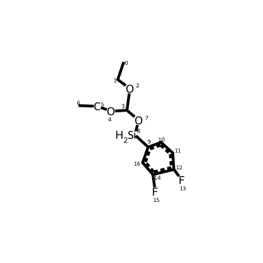 CCOC(OCC)O[SiH2]c1ccc(F)c(F)c1